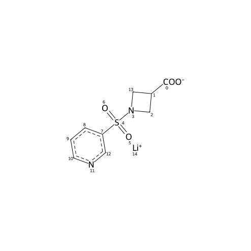 O=C([O-])C1CN(S(=O)(=O)c2cccnc2)C1.[Li+]